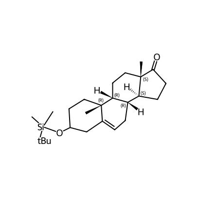 CC(C)(C)[Si](C)(C)OC1CC[C@@]2(C)C(=CC[C@@H]3[C@H]2CC[C@]2(C)C(=O)CC[C@@H]32)C1